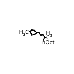 CCCCCCCCCC(C)C=CCc1ccc(C)cc1